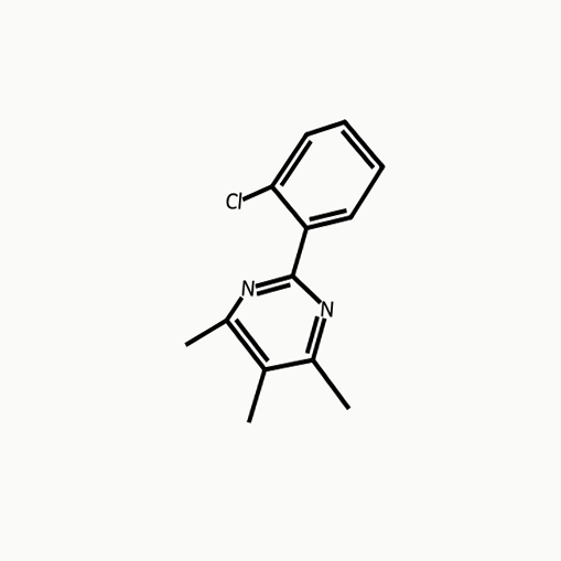 Cc1nc(-c2ccccc2Cl)nc(C)c1C